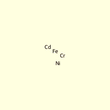 [Cd].[Cr].[Fe].[Ni]